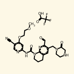 COCCOc1cc(NC(=O)N2CCCc3cc(CN4CCNCC4=O)c(C=O)nc32)ncc1C#N.O=C(O)C(F)(F)F